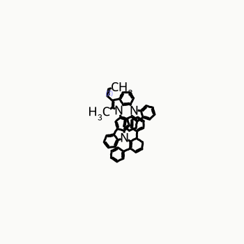 C/C=C\c1c(C)n(-c2ccc3c(c2)c2ccccc2n3C2=C(c3ccccc3)C=CCC2c2ccccc2)c2c(-n3c4c(c5ccccc53)CCC=C4)cccc12